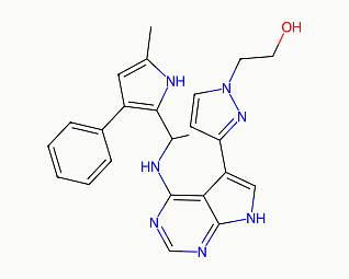 Cc1cc(-c2ccccc2)c(C(C)Nc2ncnc3[nH]cc(-c4ccn(CCO)n4)c23)[nH]1